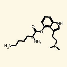 CN(C)CCc1c[nH]c2cccc(OC(=O)[C@@H](N)CCCCN)c12